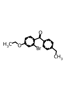 CCOc1ccc(C(=O)c2ccc(CC)cc2)c(Br)c1